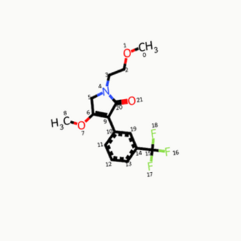 COCCN1CC(OC)=C(c2cccc(C(F)(F)F)c2)C1=O